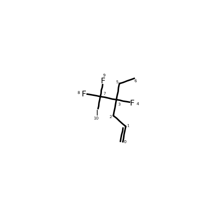 C=CCC(F)(CC)C(F)(F)I